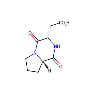 O=C(O)C[C@@H]1NC(=O)[C@@H]2CCCN2C1=O